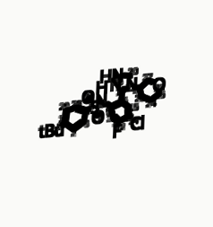 CC(C)(C)c1ccc(S(=O)(=O)Nc2cc(F)c(Cl)cc2C2=NNCN2C2CCCOC2)cc1